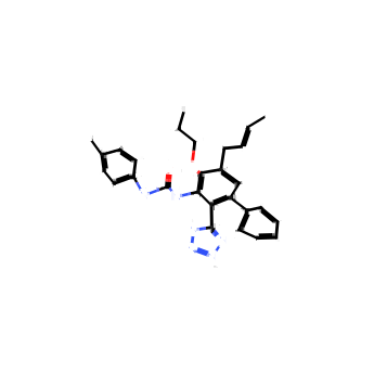 C/C=C/Cc1cc(-c2ccccc2)c(-c2nnn[nH]2)c(NC(=O)Nc2ccc(C)cc2)c1OCCC